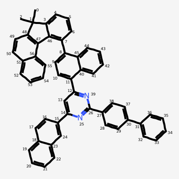 CC1(C)c2cccc(-c3ccc(-c4cc(-c5ccc6ccccc6c5)nc(-c5ccc(-c6ccccc6)cc5)n4)c4ccccc34)c2-c2c1ccc1ccccc21